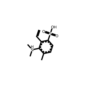 C=Cc1c(S(=O)(=O)O)ccc(C)c1[SiH](C)C